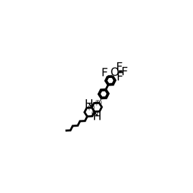 CCCCCCC1CC[C@@H]2C[C@H](c3ccc(-c4ccc(OC(F)(F)F)c(F)c4)cc3)CC[C@@H]2C1